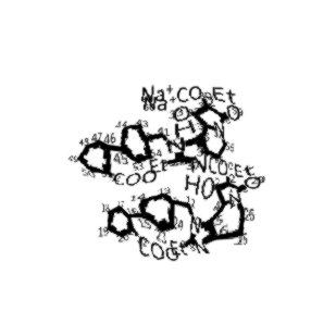 CCOC(=O)C1=C(O)C2c3c(nc(CC)n3Cc3ccc(-c4ccccc4C(=O)[O-])cc3)CCN2C1=O.CCOC(=O)C1=C(O)C2c3c(nc(CC)n3Cc3ccc(-c4ccccc4C(=O)[O-])cc3)CCN2C1=O.[Na+].[Na+]